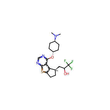 CN(C)[C@H]1CC[C@H](Oc2ncnc3sc4c(c23)[C@@H](CC(O)C(F)(F)F)CC4)CC1